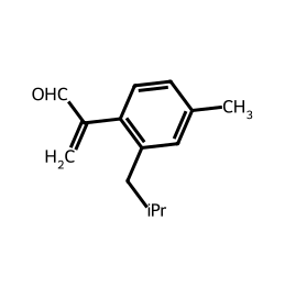 C=C(C=O)c1ccc(C)cc1CC(C)C